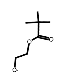 CC(C)(C)C(=O)OCC[O]